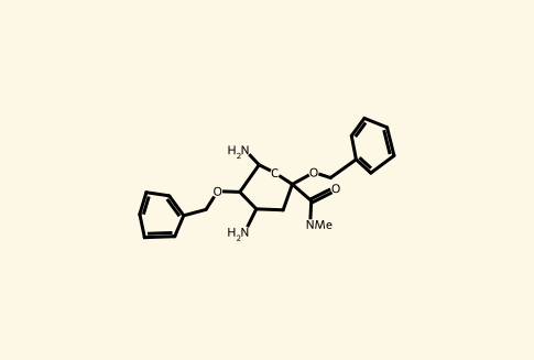 CNC(=O)C1(OCc2ccccc2)CC(N)C(OCc2ccccc2)C(N)C1